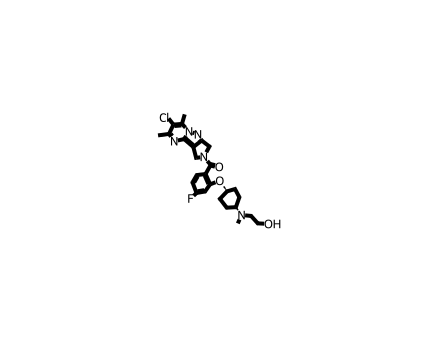 Cc1nc2c3c(nn2c(C)c1Cl)CN(C(=O)c1ccc(F)cc1O[C@H]1CC[C@@H](N(C)CCO)CC1)C3